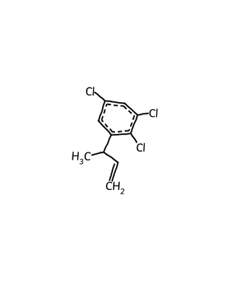 C=C[C](C)c1cc(Cl)cc(Cl)c1Cl